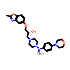 Cc1nc2cc(OC[C@H](O)CN3CCN(N(C=O)c4ccc(N5CCOCC5)cc4)CC3)ccc2s1